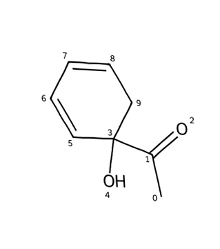 CC(=O)C1(O)C=CC=CC1